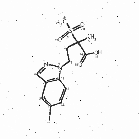 CC(CCn1ncc2cc(I)ccc21)(C(=O)O)S(C)(=O)=O